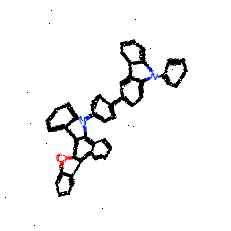 c1ccc(-n2c3ccccc3c3cc(-c4ccc(-n5c6ccccc6c6c7oc8ccccc8c7c7ccccc7c65)cc4)ccc32)cc1